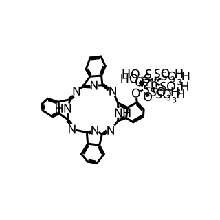 O=[S](=O)(O)[Zn]([S](=O)(=O)O)([S](=O)(=O)O)([S](=O)(=O)O)([S](=O)(=O)O)([S](=O)(=O)O)([S](=O)(=O)O)[S](=O)(=O)Oc1cccc2c3nc4nc(nc5[nH]c(nc6nc(nc([nH]3)c12)-c1ccccc1-6)c1ccccc51)-c1ccccc1-4